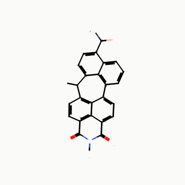 BC(CCC)c1ccc2c3c(cccc13)-c1ccc3c4c(ccc(c14)C2C)C(=O)N(C)C3=O